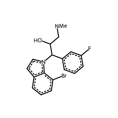 CNCC(O)C(c1cccc(F)c1)n1ccc2cccc(Br)c21